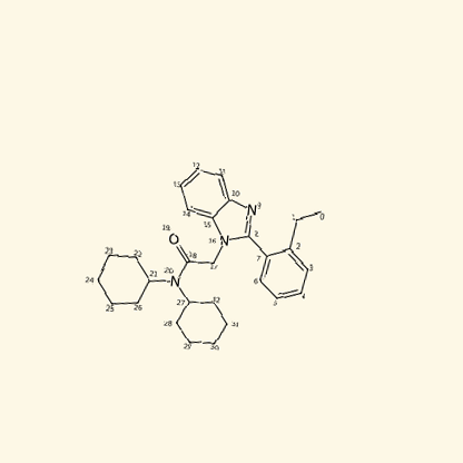 CCc1ccccc1-c1nc2ccccc2n1CC(=O)N(C1CCCCC1)C1CCCCC1